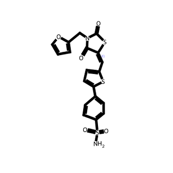 NS(=O)(=O)c1ccc(-c2ccc(/C=C3/SC(=O)N(Cc4ccco4)C3=O)s2)cc1